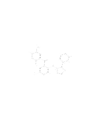 O=C(c1cc(O)c(O)cc1Br)c1cc(Br)ccc1Cn1ccnc1-c1ccccc1